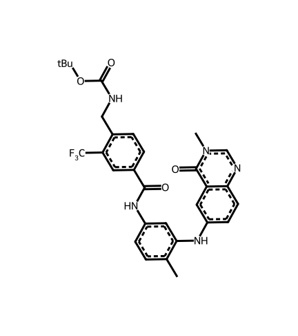 Cc1ccc(NC(=O)c2ccc(CNC(=O)OC(C)(C)C)c(C(F)(F)F)c2)cc1Nc1ccc2ncn(C)c(=O)c2c1